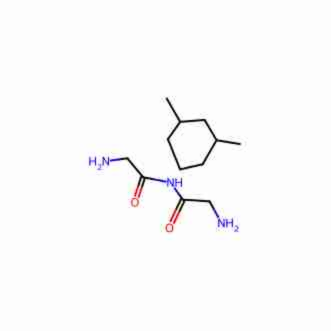 CC1CCCC(C)C1.NCC(=O)NC(=O)CN